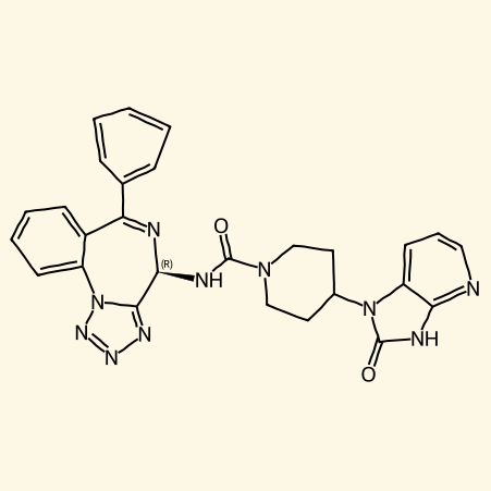 O=C(N[C@@H]1N=C(c2ccccc2)c2ccccc2-n2nnnc21)N1CCC(n2c(=O)[nH]c3ncccc32)CC1